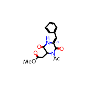 COC(=O)CC1C(=O)N/C(=C\c2ccccc2)C(=O)N1C(C)=O